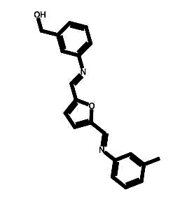 Cc1cccc(N=Cc2ccc(C=Nc3cccc(CO)c3)o2)c1